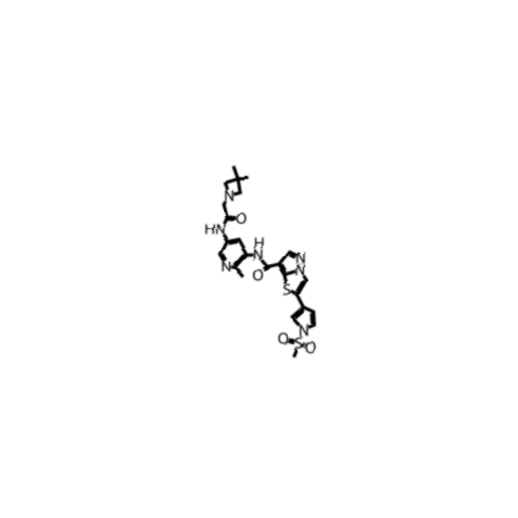 Cc1ncc(NC(=O)CN2CC(C)(C)C2)cc1NC(=O)c1cnn2cc(-c3ccn(S(C)(=O)=O)c3)sc12